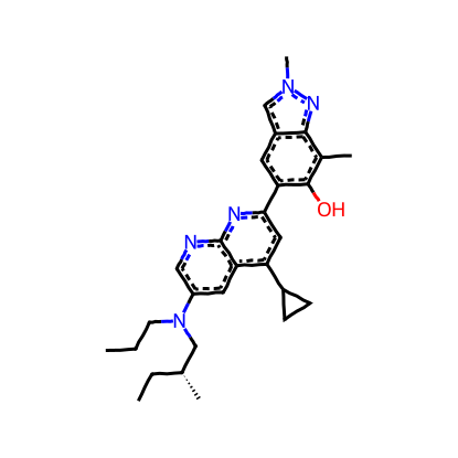 CCCN(C[C@H](C)CC)c1cnc2nc(-c3cc4cn(C)nc4c(C)c3O)cc(C3CC3)c2c1